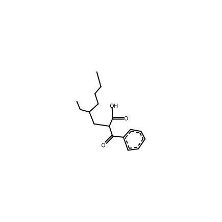 CCCCC(CC)CC(C(=O)O)C(=O)c1ccccc1